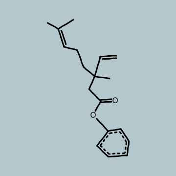 C=CC(C)(CCC=C(C)C)CC(=O)Oc1ccccc1